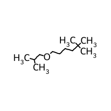 CC(C)COCCCCC(C)(C)C